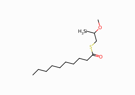 CCCCCCCCCC(=O)SCC([SiH3])OC